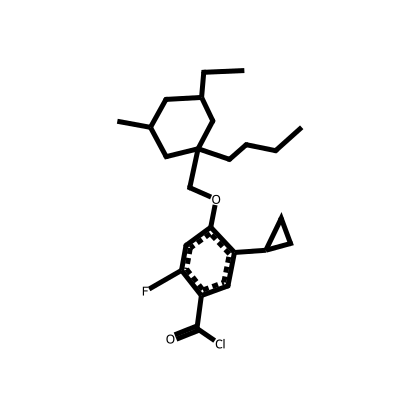 CCCCC1(COc2cc(F)c(C(=O)Cl)cc2C2CC2)CC(C)CC(CC)C1